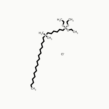 CCCCCCCCCCCCCCCCCC[N+](C)(C)CCCCCC[Si](OCC)(OCC)OCC.[Cl-]